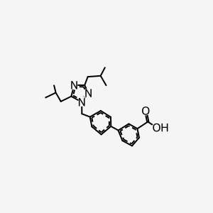 CC(C)Cc1nc(CC(C)C)n(Cc2ccc(-c3cccc(C(=O)O)c3)cc2)n1